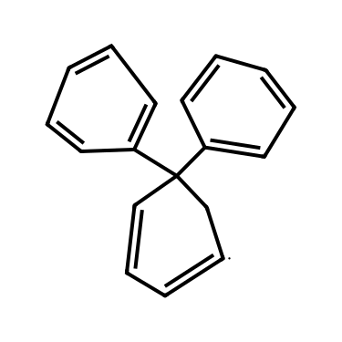 [C]1=CC=CC(c2ccccc2)(c2ccccc2)C1